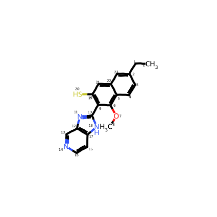 CCc1ccc2c(OC)c(-c3nc4cnccc4[nH]3)c(S)cc2c1